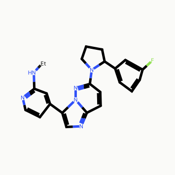 CCNc1cc(-c2cnc3ccc(N4CCCC4c4cccc(F)c4)nn23)ccn1